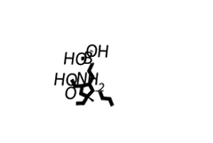 CCCC[C@H]1C(CCCB(O)O)C(N)(C(=O)O)C[C@@]1(C)CC